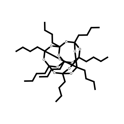 CCCCC12OC3(CCCC)OC4(CCCC)OC(CCCC)(O1)OC1(CCCC)OC(CCCC)(O2)OC(CCCC)(O3)OC(CCCC)(O4)O1